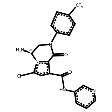 N[C@H]1CN(c2ccc(C(F)(F)F)cc2)C(=O)c2c(C(=O)Nc3cccnc3)cc(Cl)n21